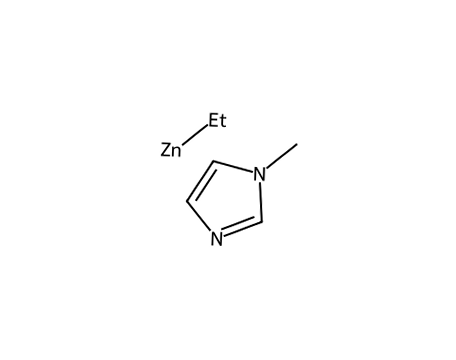 C[CH2][Zn].Cn1ccnc1